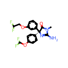 CN1C(=O)[C@](c2ccc(OC(F)F)cc2)(c2cccc(OCC(F)F)c2)N=C1N